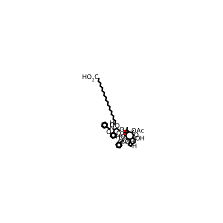 CC(=O)O[C@H]1C(=O)[C@@]2(C)[C@H]([C@H](OC(=O)c3ccccc3)[C@]3(O)C[C@H](OC(=O)[C@H](OC(=O)CCCCCCCCCCCCCCCCCCCC(=O)O)[C@@H](NC(=O)c4ccccc4)c4ccccc4)C(C)=C1C3(C)C)[C@]1(OC(C)=O)CC[C@@H]1C[C@@H]2O